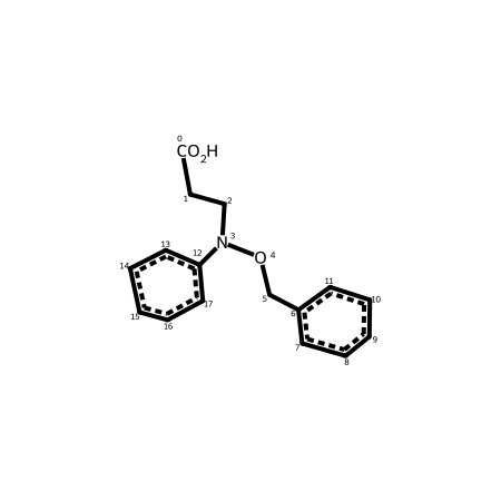 O=C(O)CCN(OCc1ccccc1)c1ccccc1